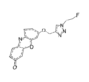 O=c1ccc2nc3ccc(OCc4cn(CCF)nn4)cc3oc-2c1